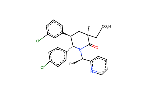 CC(C)[C@H](c1ccccn1)N1C(=O)[C@](C)(CC(=O)O)C[C@H](c2cccc(Cl)c2)[C@H]1c1ccc(Cl)cc1